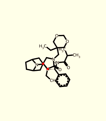 CCN1C(=O)N(CC2(CC)COCOC2)CC12CC1CCC(C2)N1CC[C@H](NC(=O)C(C)C)c1ccccc1